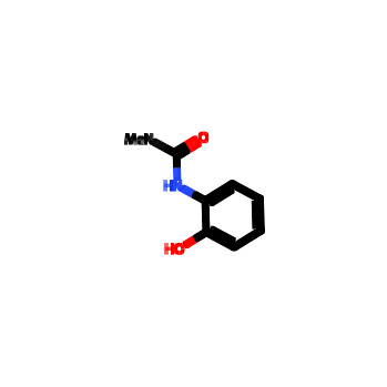 CNC(=O)Nc1ccccc1O